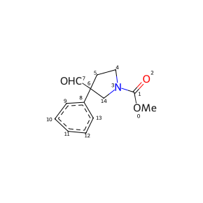 COC(=O)N1CCC(C=O)(c2ccccc2)C1